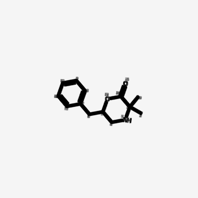 CC1(C)NCC(Cc2ccccc2)OC1=O